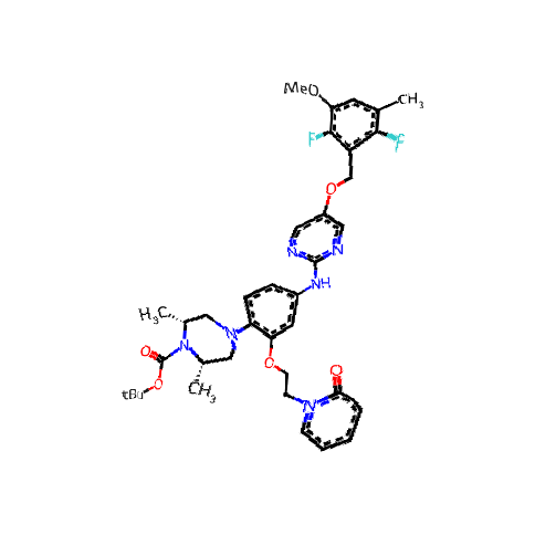 COc1cc(C)c(F)c(COc2cnc(Nc3ccc(N4C[C@@H](C)N(C(=O)OC(C)(C)C)[C@@H](C)C4)c(OCCn4ccccc4=O)c3)nc2)c1F